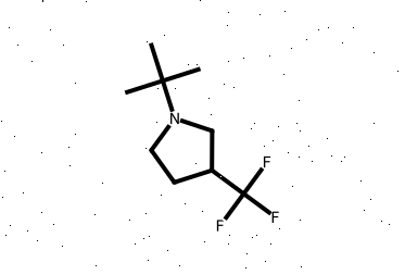 CC(C)(C)N1CCC(C(F)(F)F)C1